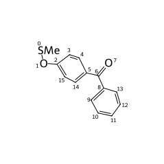 CSOc1ccc(C(=O)c2ccccc2)cc1